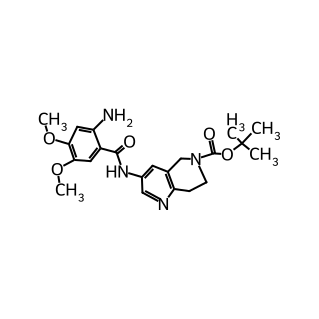 COc1cc(N)c(C(=O)Nc2cnc3c(c2)CN(C(=O)OC(C)(C)C)CC3)cc1OC